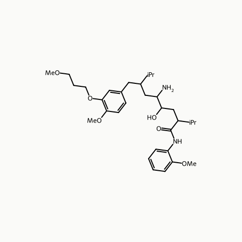 COCCCOc1cc(CC(CC(N)C(O)CC(C(=O)Nc2ccccc2OC)C(C)C)C(C)C)ccc1OC